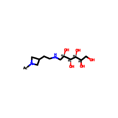 CC(=O)N1CC(CCNC[C@H](O)[C@@H](O)[C@H](O)[C@H](O)CO)C1